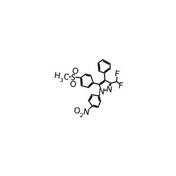 CS(=O)(=O)c1ccc(-c2c(-c3ccccc3)c(C(F)F)nn2-c2ccc([N+](=O)[O-])cc2)cc1